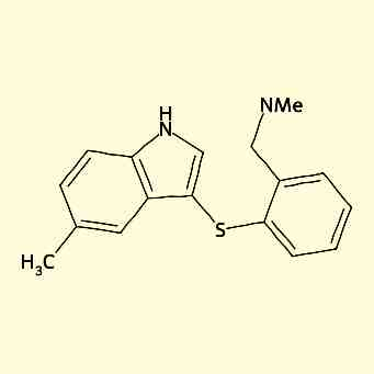 CNCc1ccccc1Sc1c[nH]c2ccc(C)cc12